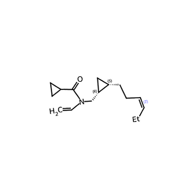 C=CN(C[C@@H]1C[C@@H]1CC/C=C\CC)C(=O)C1CC1